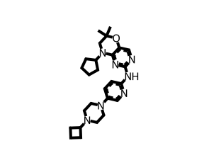 CC1(C)CN(C2CCCC2)c2nc(Nc3ccc(N4CCN(C5CCC5)CC4)cn3)ncc2O1